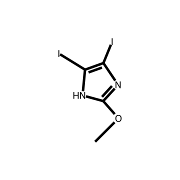 COc1nc(I)c(I)[nH]1